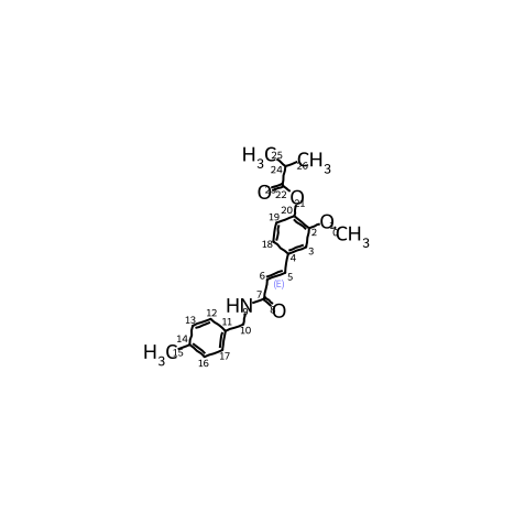 COc1cc(/C=C/C(=O)NCc2ccc(C)cc2)ccc1OC(=O)C(C)C